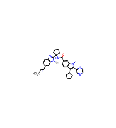 CCn1c(C2(NC(=O)c3ccc4c(C5CCCC5)c(-c5cnccn5)n(C)c4c3)CCCC2)nc2ccc(/C=C/C(=O)O)cc21